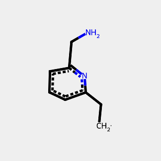 [CH2]Cc1cccc(CN)n1